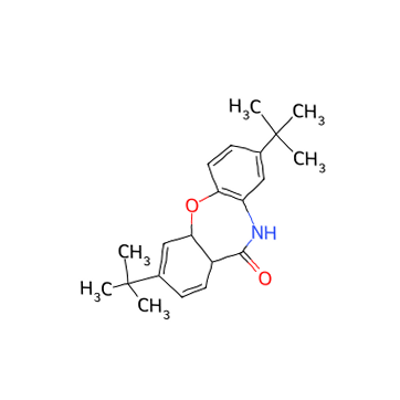 CC(C)(C)C1=CC2Oc3ccc(C(C)(C)C)cc3NC(=O)C2C=C1